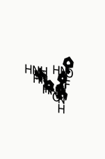 O=C(Nc1ccc(-c2cc(Nc3ccc(N4C[C@H]5CNC[C@H]5C4)cn3)c3c(=O)[nH]ccc3n2)c(F)c1)C1CCCCC1